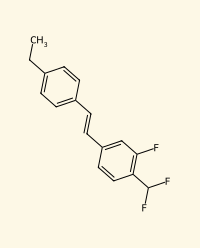 CCc1ccc(/C=C/c2ccc(C(F)F)c(F)c2)cc1